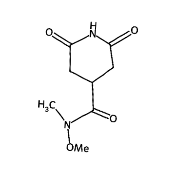 CON(C)C(=O)C1CC(=O)NC(=O)C1